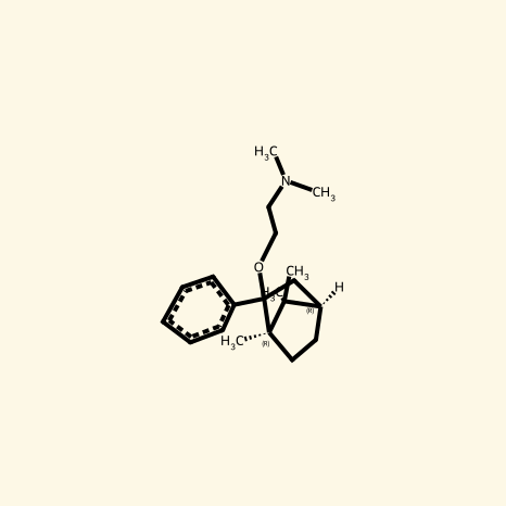 CN(C)CCOC1(c2ccccc2)C[C@H]2CC[C@]1(C)C2(C)C